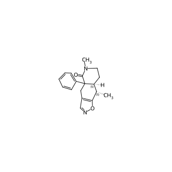 C[C@@H]1c2oncc2CC2(c3ccccc3)C(=O)N(C)CC[C@@H]12